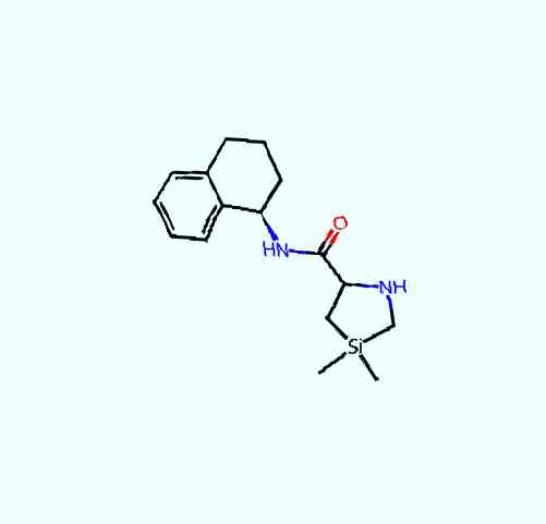 C[Si]1(C)CNC(C(=O)N[C@@H]2CCCc3ccccc32)C1